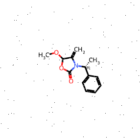 C=C1C(OC)OC(=O)N1[C@H](C)c1ccccc1